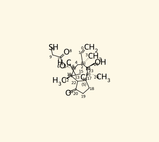 C=C[C@]1(C)C[C@@H](OC(=O)CS)[C@]2(C)C(C)CC[C@]3(CCC(=O)C32)[C@@H](C)[C@@H]1O